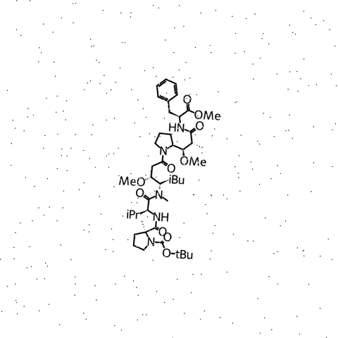 CC[C@H](C)[C@@H]([C@@H](CC(=O)N1CCCC1[C@H](OC)[C@@H](C)C(=O)N[C@@H](Cc1ccccc1)C(=O)OC)OC)N(C)C(=O)[C@@H](NC(=O)[C@]1(C)CCCN1C(=O)OC(C)(C)C)C(C)C